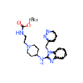 CC(C)(C)OC(=O)NCCN1CCC(Nc2nc3ccccc3n2Cc2cccnn2)CC1